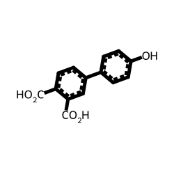 O=C(O)c1ccc(-c2ccc(O)cc2)cc1C(=O)O